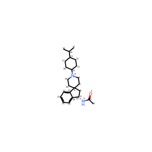 CC(=O)N[C@H]1CC2(CCN(C3CCC(C(C)C)CC3)CC2)c2ccccc21